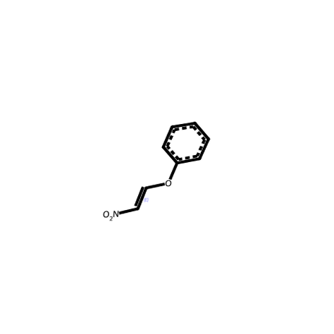 O=[N+]([O-])/C=C/Oc1ccccc1